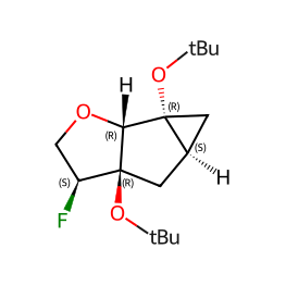 CC(C)(C)O[C@]12C[C@H]1C[C@@]1(OC(C)(C)C)[C@@H]2OC[C@@H]1F